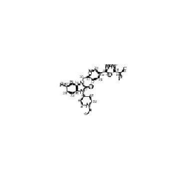 CCN1CCC(n2c(=O)n(Cc3ccc(-c4nnc(C(F)F)o4)cn3)c3cc(F)ccc32)CC1